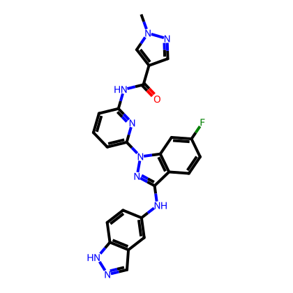 Cn1cc(C(=O)Nc2cccc(-n3nc(Nc4ccc5[nH]ncc5c4)c4ccc(F)cc43)n2)cn1